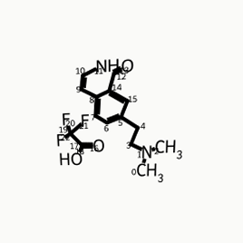 CN(C)CCc1ccc2cc[nH]c(=O)c2c1.O=C(O)C(F)(F)F